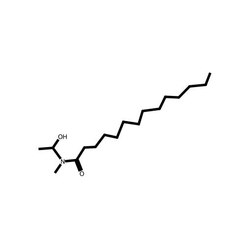 CCCCCCCCCCCCCC(=O)N(C)C(C)O